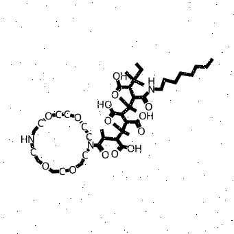 CCCCCCCCNC(=O)C(C(C(=O)O)C(C)(C)CC)C(C)(C)C(C(=O)O)C(C(=O)O)C(C)(C)C(C(=O)O)C(C)C(=O)N1CCOCCOCCNCCOCCOCC1